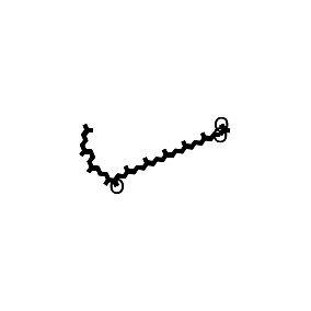 CC(=O)OC/C=C(\C)CC/C=C(\C)CC/C=C(\C)CC/C=C(\C)CC/C=C(\C)CCC(=O)C(C)CC/C=C(\C)CC/C=C(\C)CCC=C(C)C